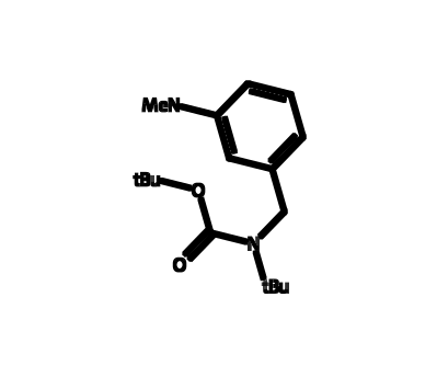 CNc1cccc(CN(C(=O)OC(C)(C)C)C(C)(C)C)c1